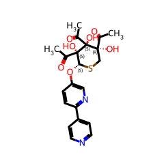 CC(=O)[C@]1(O)[C@@](O)(C(C)=O)CS[C@H](Oc2ccc(-c3ccncc3)nc2)[C@@]1(O)C(C)=O